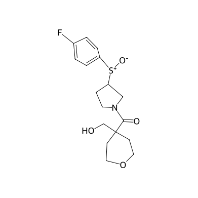 O=C(N1CCC([S+]([O-])c2ccc(F)cc2)C1)C1(CO)CCOCC1